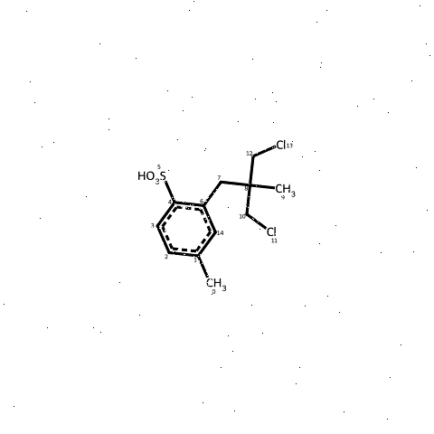 Cc1ccc(S(=O)(=O)O)c(CC(C)(CCl)CCl)c1